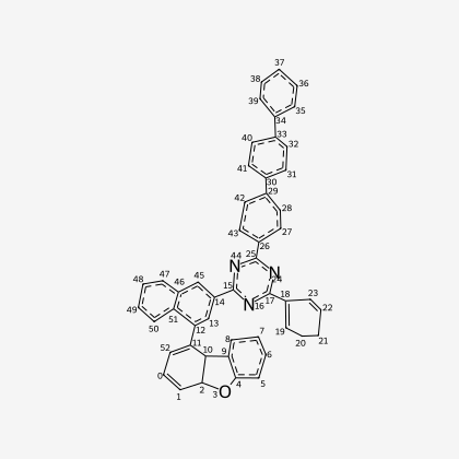 C1=CC2Oc3ccccc3C2C(c2cc(-c3nc(C4=CCCC=C4)nc(-c4ccc(-c5ccc(-c6ccccc6)cc5)cc4)n3)cc3ccccc23)=C1